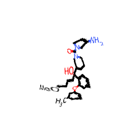 COCCCC[C@@](O)(c1ccccc1Oc1cccc(C)c1)C1CCCN(C(=O)N2CCC(N)C2)C1